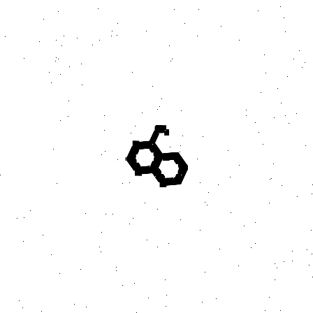 Cc1n[c]nc2ncccc12